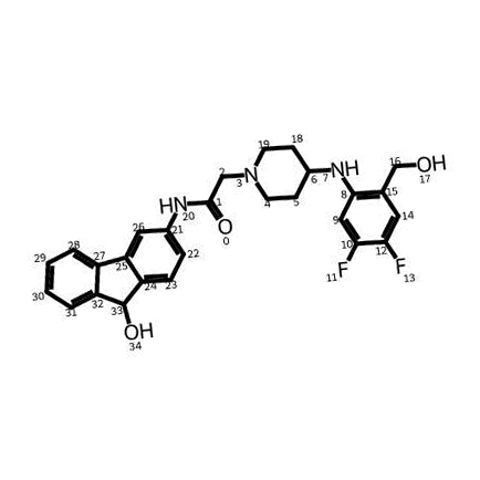 O=C(CN1CCC(Nc2cc(F)c(F)cc2CO)CC1)Nc1ccc2c(c1)-c1ccccc1C2O